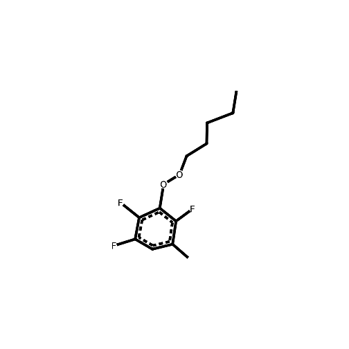 CCCCCOOc1c(F)c(C)cc(F)c1F